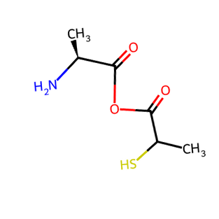 CC(S)C(=O)OC(=O)[C@H](C)N